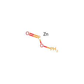 O=POP.[Zn]